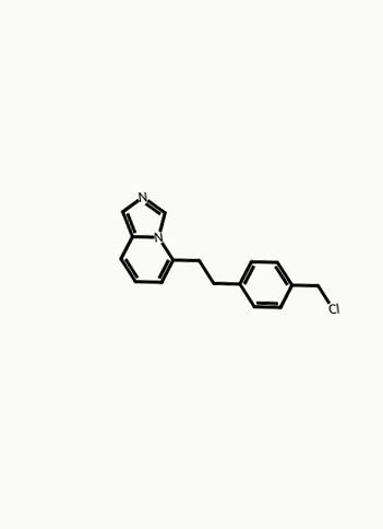 ClCc1ccc(CCc2cccc3cncn23)cc1